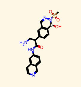 CS(=O)(=O)N1N=Cc2cc(C(CN)C(=O)Nc3ccc4cnccc4c3)ccc2B1O